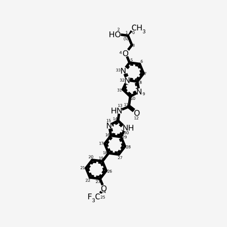 C[C@H](O)COc1ccc2nc(C(=O)Nc3nc4cc(-c5cccc(OC(F)(F)F)c5)ccc4[nH]3)cn2n1